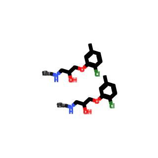 Cc1ccc(Cl)c(OCC(O)CNC(C)(C)C)c1.Cc1ccc(Cl)c(OCC(O)CNC(C)(C)C)c1